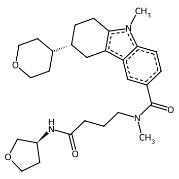 CN(CCCC(=O)N[C@H]1CCOC1)C(=O)c1ccc2c(c1)c1c(n2C)CC[C@@H](C2CCOCC2)C1